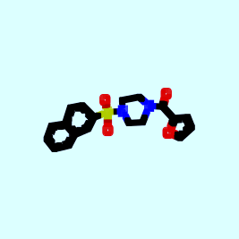 O=C(c1ccco1)N1CCN(S(=O)(=O)c2ccc3ccccc3c2)CC1